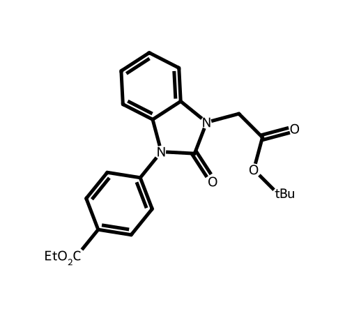 CCOC(=O)c1ccc(-n2c(=O)n(CC(=O)OC(C)(C)C)c3ccccc32)cc1